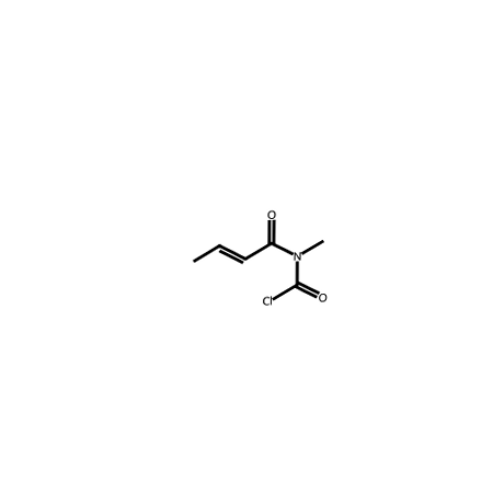 CC=CC(=O)N(C)C(=O)Cl